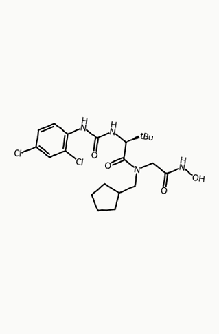 CC(C)(C)[C@H](NC(=O)Nc1ccc(Cl)cc1Cl)C(=O)N(CC(=O)NO)CC1CCCC1